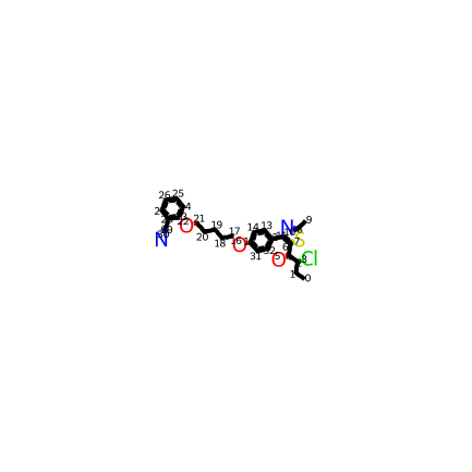 CCC(Cl)C(=O)c1sc(C)nc1-c1ccc(OCCCCCOc2ccccc2C#N)cc1